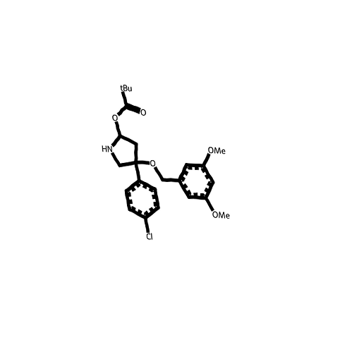 COc1cc(COC2(c3ccc(Cl)cc3)CNC(OC(=O)C(C)(C)C)C2)cc(OC)c1